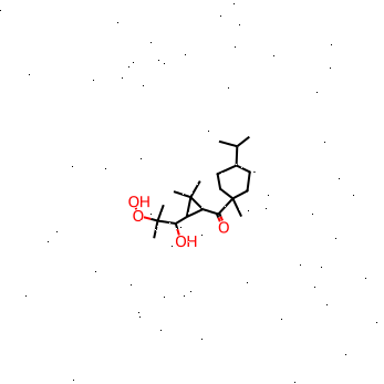 CC(C)C1[CH]CC(C)(C(=O)C2C(C(O)C(C)(C)OO)C2(C)C)CC1